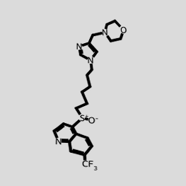 [O-][S+](CCCCCCn1cnc(CN2CCOCC2)c1)c1ccnc2cc(C(F)(F)F)ccc12